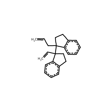 C=CCC1(C2(C=C)CCc3ccccc32)CCc2ccccc21